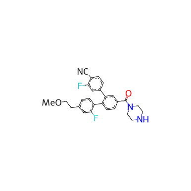 COCCc1ccc(-c2ccc(C(=O)N3CCNCC3)cc2-c2ccc(C#N)c(F)c2)c(F)c1